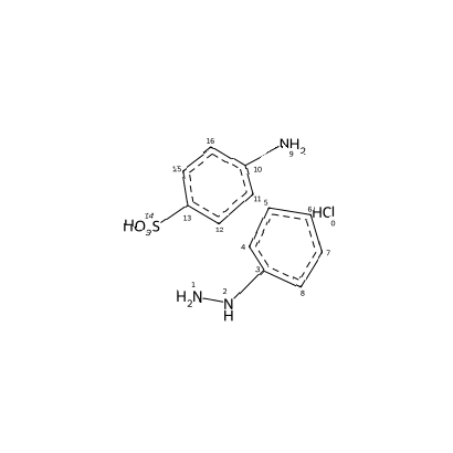 Cl.NNc1ccccc1.Nc1ccc(S(=O)(=O)O)cc1